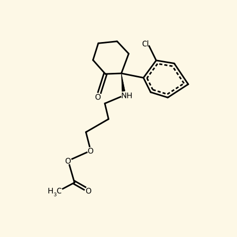 CC(=O)OOCCCN[C@]1(c2ccccc2Cl)CCCCC1=O